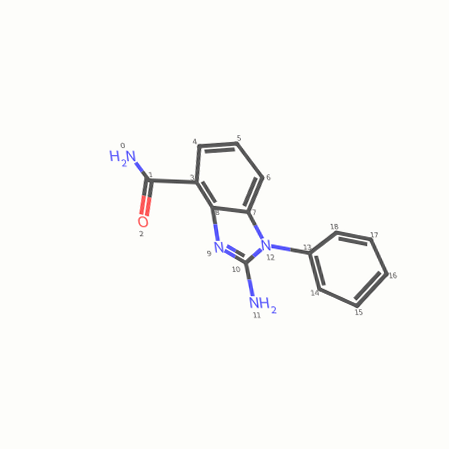 NC(=O)c1cccc2c1nc(N)n2-c1ccccc1